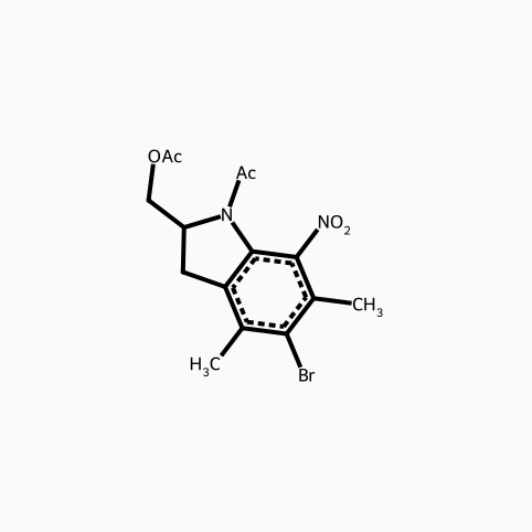 CC(=O)OCC1Cc2c(C)c(Br)c(C)c([N+](=O)[O-])c2N1C(C)=O